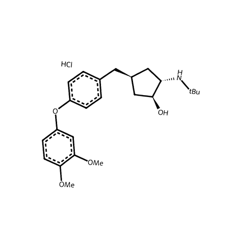 COc1ccc(Oc2ccc(C[C@H]3C[C@H](NC(C)(C)C)[C@@H](O)C3)cc2)cc1OC.Cl